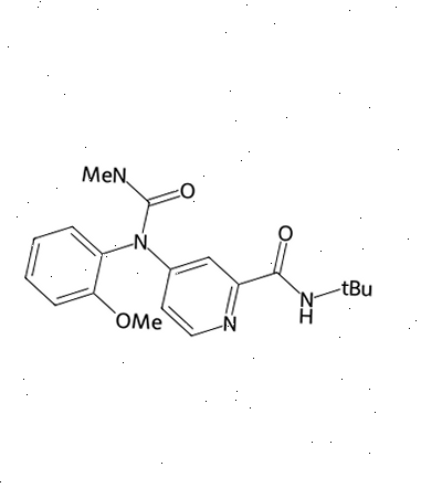 CNC(=O)N(c1ccnc(C(=O)NC(C)(C)C)c1)c1ccccc1OC